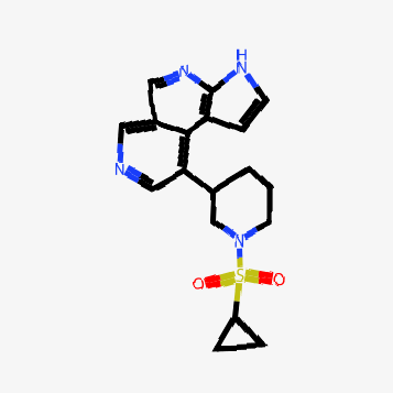 O=S(=O)(C1CC1)N1CCCC(c2cncc3cnc4[nH]ccc4c23)C1